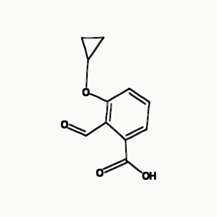 O=Cc1c(OC2CC2)cccc1C(=O)O